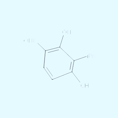 Cc1ccc(C=O)c(O)c1C(C)C